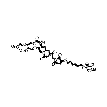 COCCOCCOC(=O)NCCCCC(NC(=O)OCCOCCOC)C(=O)CN1C(=O)CC(SCCCCCCOP(=O)(O)OC)C1=O